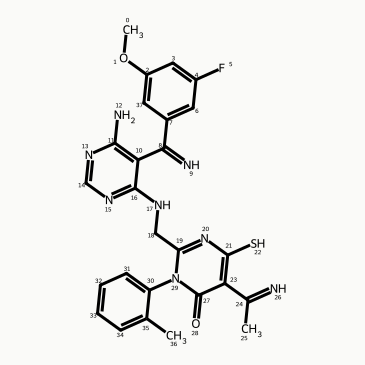 COc1cc(F)cc(C(=N)c2c(N)ncnc2NCc2nc(S)c(C(C)=N)c(=O)n2-c2ccccc2C)c1